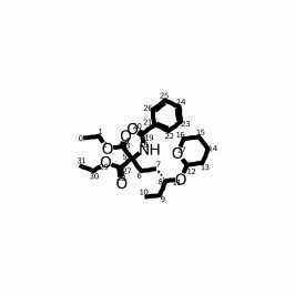 CCOC(=O)C(CC[C@@H](CC)OC1CCCCO1)(NC(=O)c1ccccc1)C(=O)OCC